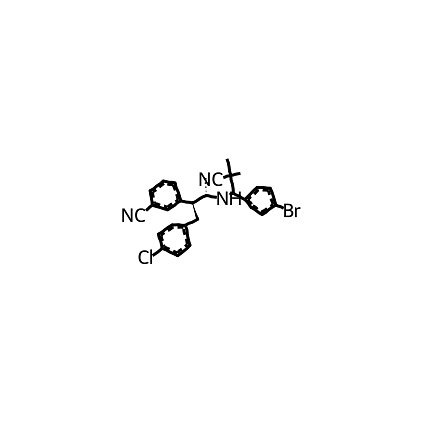 C[C@H](NC(c1ccc(Br)cc1)C(C)(C)C#N)[C@@H](Cc1ccc(Cl)cc1)c1cccc(C#N)c1